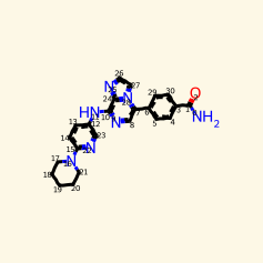 NC(=O)c1ccc(-c2cnc(Nc3ccc(N4CCCCC4)nc3)c3nccn23)cc1